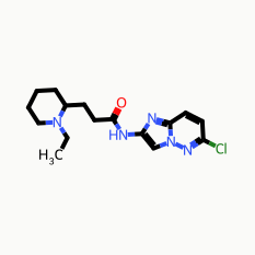 CCN1CCCCC1CCC(=O)Nc1cn2nc(Cl)ccc2n1